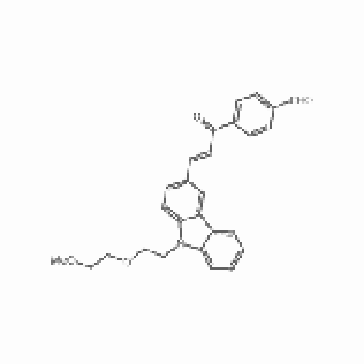 COCCOCCn1c2ccccc2c2cc(C=CC(=O)c3ccc(C=O)cc3)ccc21